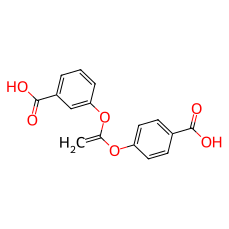 C=C(Oc1ccc(C(=O)O)cc1)Oc1cccc(C(=O)O)c1